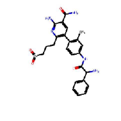 Cc1cc(NC(=O)C(N)c2ccccc2)ccc1-c1cc(C(N)=O)c(N)nc1CCC[As](=O)=O